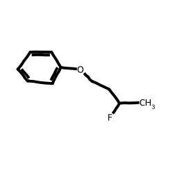 CC(F)CCOc1ccccc1